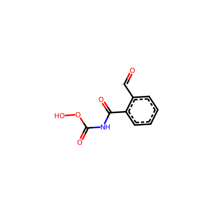 O=[C]c1ccccc1C(=O)NC(=O)OO